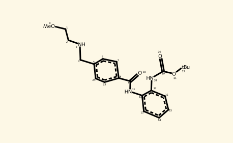 COCCNCc1ccc(C(=O)Nc2ccccc2NC(=O)OC(C)(C)C)cc1